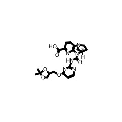 CC1(C)OCC(COc2ccnc(NC(=O)N3c4nc(C(=O)O)ccc4N4CC[C@H]3C4)n2)O1